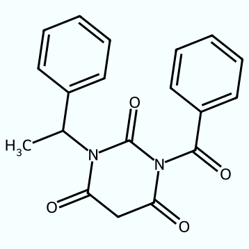 CC(c1ccccc1)N1C(=O)CC(=O)N(C(=O)c2ccccc2)C1=O